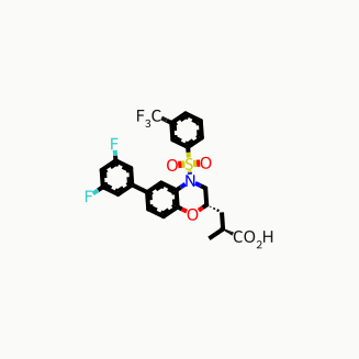 C[C@@H](C[C@H]1CN(S(=O)(=O)c2cccc(C(F)(F)F)c2)c2cc(-c3cc(F)cc(F)c3)ccc2O1)C(=O)O